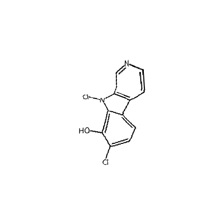 Oc1c(Cl)ccc2c3ccncc3n(Cl)c12